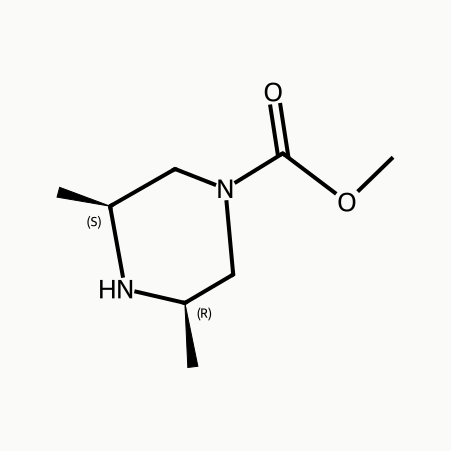 COC(=O)N1C[C@@H](C)N[C@@H](C)C1